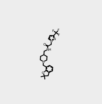 CC1(C)Cc2cccc(CN3CCC(CNC(=O)Cn4ccc(C(F)(F)F)n4)CC3)c2O1